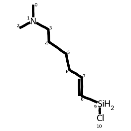 CN(C)CCCCC=C[SiH2]Cl